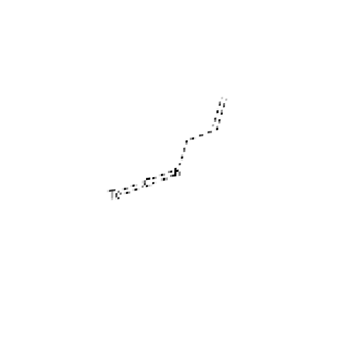 C=CCN=C=[Te]